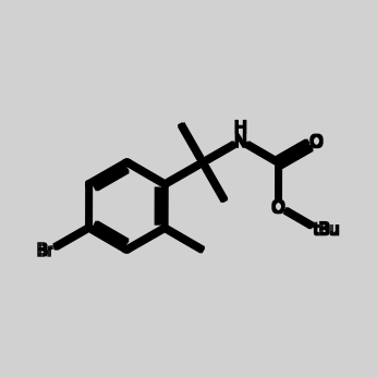 Cc1cc(Br)ccc1C(C)(C)NC(=O)OC(C)(C)C